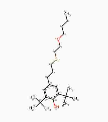 CCCCOCCSCCCc1cc(C(C)(C)C)c(O)c(C(C)(C)C)c1